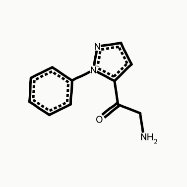 NCC(=O)c1ccnn1-c1ccccc1